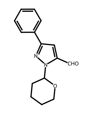 O=Cc1cc(-c2ccccc2)nn1C1CCCCO1